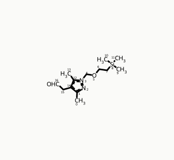 Cc1nn(COCC[Si](C)(C)C)c(C)c1CC=O